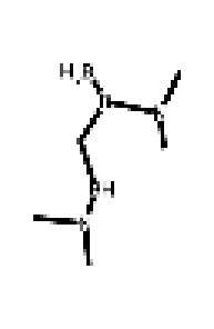 BB(CBN(C)C)N(C)C